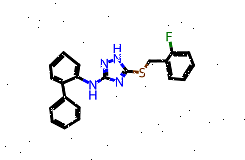 Fc1ccccc1CSc1nc(Nc2ccccc2-c2ccccc2)n[nH]1